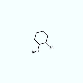 COC1CCCCC1C(C)=O